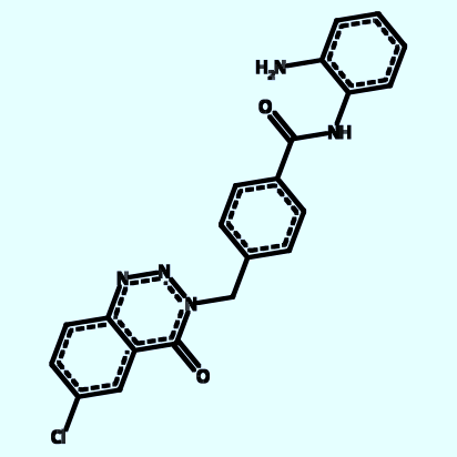 Nc1ccccc1NC(=O)c1ccc(Cn2nnc3ccc(Cl)cc3c2=O)cc1